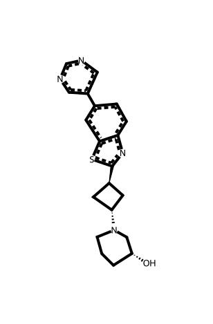 O[C@@H]1CCCN([C@H]2C[C@H](c3nc4ccc(-c5cncnc5)cc4s3)C2)C1